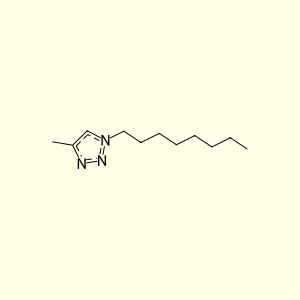 CCCCCCCCn1cc(C)nn1